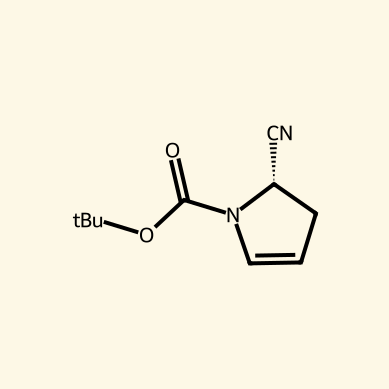 CC(C)(C)OC(=O)N1C=CC[C@H]1C#N